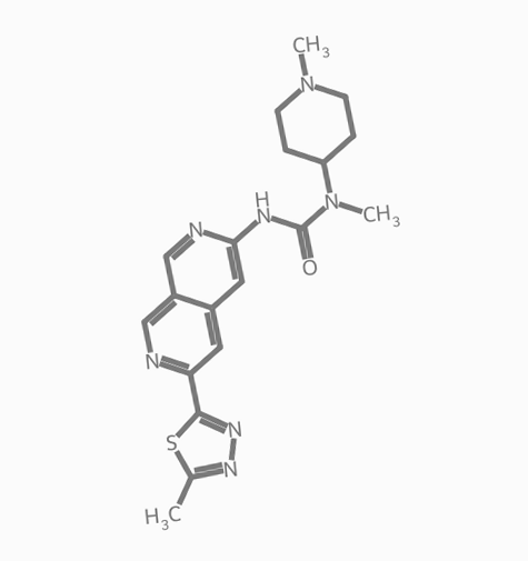 Cc1nnc(-c2cc3cc(NC(=O)N(C)C4CCN(C)CC4)ncc3cn2)s1